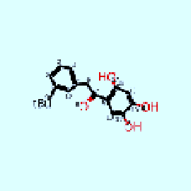 CC(C)(C)c1cccc(CC(=O)c2cc(O)c(O)cc2O)c1